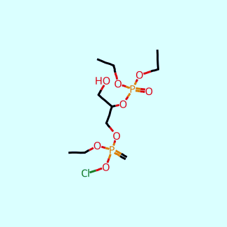 C=P(OCl)(OCC)OCC(CO)OP(=O)(OCC)OCC